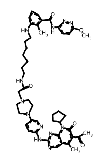 COc1ccc(NC(=O)c2cccc(NCCCCCCCNC(=O)CN3CCN(c4ccc(Nc5ncc6c(C)c(C(C)=O)c(=O)n(C7CCCC7)c6n5)nc4)CC3)c2C)nn1